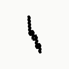 CCCCCCCCCc1ccc(-c2ncc(OCc3ccc(CCC)cc3)cn2)cc1